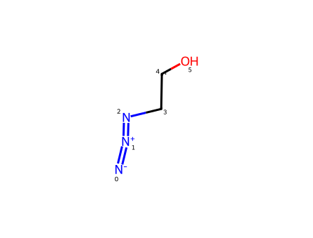 [N-]=[N+]=NC[CH]O